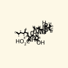 C=CCCC(C)C[C@@H](C)[C@H](NC(=O)O)C(=O)N1C[C@H](O)C[C@H]1C(=O)N[C@]1(C(=O)NS(=O)(=O)C2(CF)CC2)C[C@H]1C=C